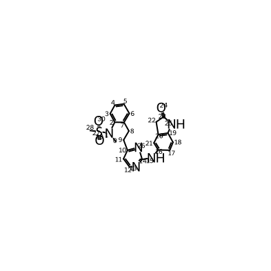 CN(c1ccccc1CCc1ccnc(Nc2ccc3c(c2)CC(=O)N3)n1)S(C)(=O)=O